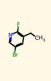 C[CH]c1cc(Br)cnc1F